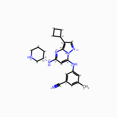 Cc1cc(C#N)cc(Nc2cc(N[C@H]3CCCNC3)nc3c(C4CCC4)cnn23)c1